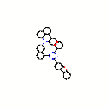 c1ccc(-c2nc(-c3ccc4c(c3)oc3ccccc34)nc(-c3cccc4ccc(N5c6ccccc6-c6cccc7cccc5c67)cc34)n2)cc1